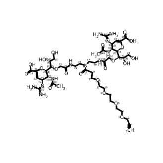 C#CCOCCOCCOCCOCCC(=O)N(CCNC(=O)CO[C@@H]([C@@H]1OC(C(=O)O)=C[C@H](N=C(N)N)[C@H]1NC(C)=O)[C@H](O)CO)CCNC(=O)CO[C@@H]([C@@H]1OC(C(=O)O)=C[C@H](N=C(N)N)[C@H]1NC(C)=O)[C@H](O)CO